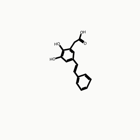 O=C(O)Cc1cc(C=Cc2ccccc2)cc(O)c1O